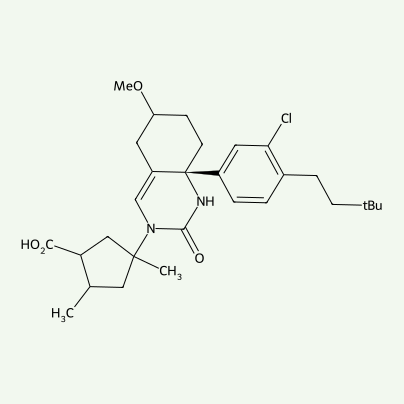 COC1CC[C@]2(c3ccc(CCC(C)(C)C)c(Cl)c3)NC(=O)N(C3(C)CC(C)C(C(=O)O)C3)C=C2C1